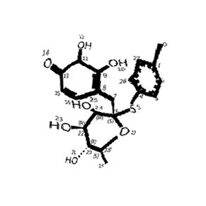 Cc1ccc(S[C@]2(CC3=C(O)C(O)C(=O)C=C3)O[C@@H](C)[C@H](O)[C@@H](O)[C@H]2O)cc1